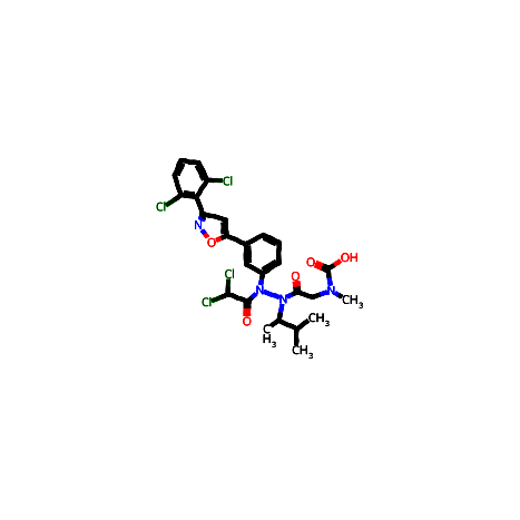 CC(C)C(C)N(C(=O)CN(C)C(=O)O)N(C(=O)C(Cl)Cl)c1cccc(-c2cc(-c3c(Cl)cccc3Cl)no2)c1